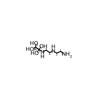 NCCNCCNC(O)(O)C(O)O